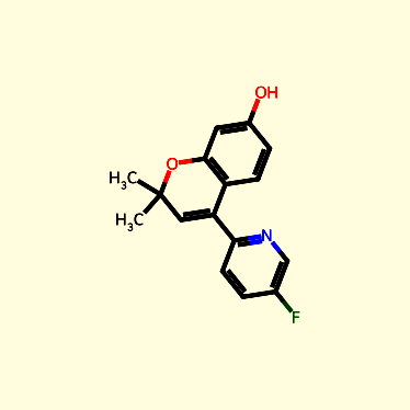 CC1(C)C=C(c2ccc(F)cn2)c2ccc(O)cc2O1